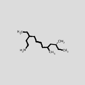 CCC(CCN)CCCCC(C)C[C@H](C)CC